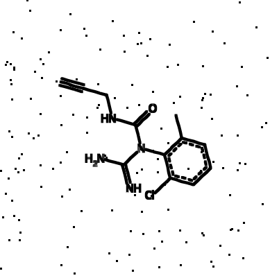 C#CCNC(=O)N(C(=N)N)c1c(C)cccc1Cl